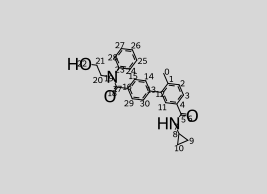 Cc1ccc(C(=O)NC2CC2)cc1-c1ccc(C(=O)N(CCO)c2ccccc2)cc1